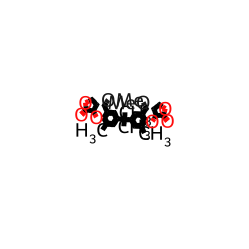 COCc1cc(C(C)(C)c2cc(C)c(OC3CCOC3=O)c(COC)c2)cc(C)c1OC1CCOC1=O